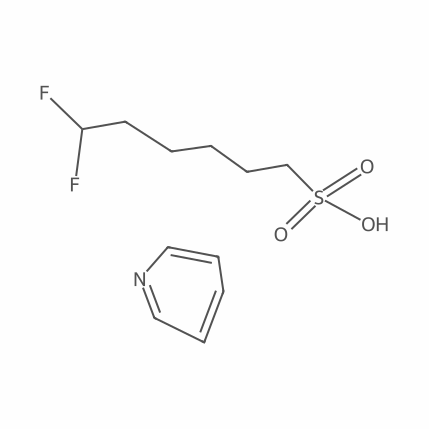 O=S(=O)(O)CCCCCC(F)F.c1ccncc1